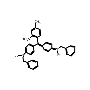 CCN(Cc1ccccc1)c1ccc(C(=C2C=CC(=[N+](CC)Cc3ccccc3)C=C2)c2ccc(C)cc2S(=O)(=O)O)cc1